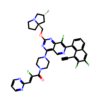 C#Cc1c(F)c(F)cc2cccc(-c3ncc4c(N5CCN(C(=O)/C(F)=C/c6ncccn6)CC5)nc(OC[C@@]56CCCN5C[C@H](F)C6)nc4c3F)c12